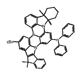 CC(C)(C)c1cc2c3c(c1)c1c(n3-c3cc(N(c4ccccc4)c4ccccc4)cc4c3B2c2cccc3c2N4C2(C)CCCCC32C)-c2ccccc2C1(C)C